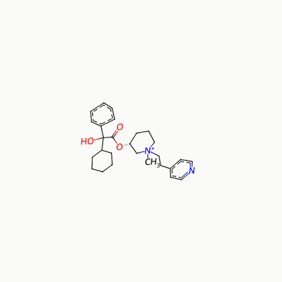 C[N+]1(CCc2ccncc2)CCC[C@@H](OC(=O)C(O)(c2ccccc2)C2CCCCC2)C1